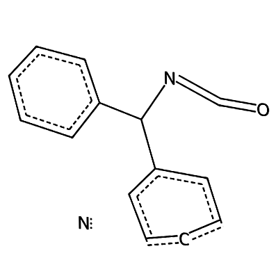 O=C=NC(c1ccccc1)c1ccccc1.[N]